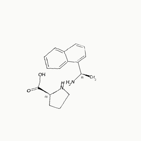 C[C@@H](N)c1cccc2ccccc12.O=C(O)[C@@H]1CCCN1